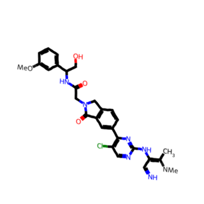 CN/C(C)=C(\C=N)Nc1ncc(Cl)c(-c2ccc3c(c2)C(=O)N(CC(=O)NC(CO)c2cccc(OC)c2)C3)n1